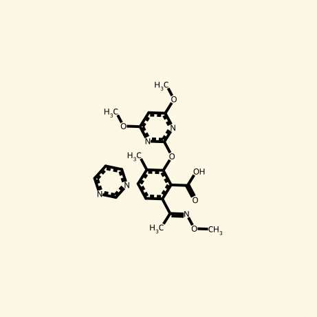 CON=C(C)c1ccc(C)c(Oc2nc(OC)cc(OC)n2)c1C(=O)O.c1cncnc1